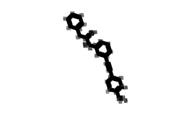 Nc1ncc(C#Cc2cccc(NC(=O)Cc3ccccc3)c2)cn1